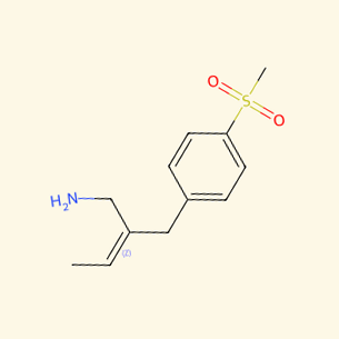 C/C=C(\CN)Cc1ccc(S(C)(=O)=O)cc1